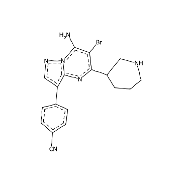 N#Cc1ccc(-c2cnn3c(N)c(Br)c(C4CCCNC4)nc23)cc1